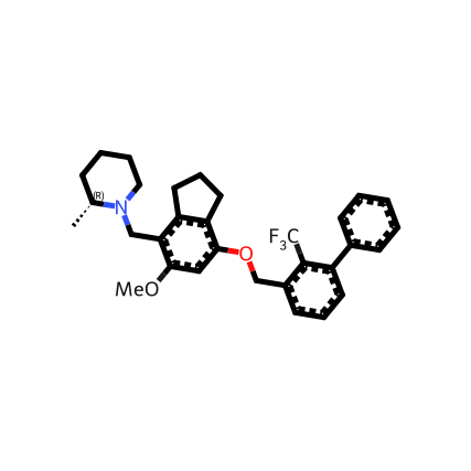 COc1cc(OCc2cccc(-c3ccccc3)c2C(F)(F)F)c2c(c1CN1CCCC[C@H]1C)CCC2